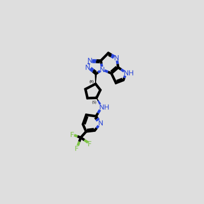 FC(F)(F)c1ccc(N[C@H]2CC[C@@H](c3nnc4cnc5[nH]ccc5n34)C2)nc1